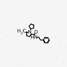 C=C1CCC(C(=O)NCCc2ccccc2)N1C1CCCC1